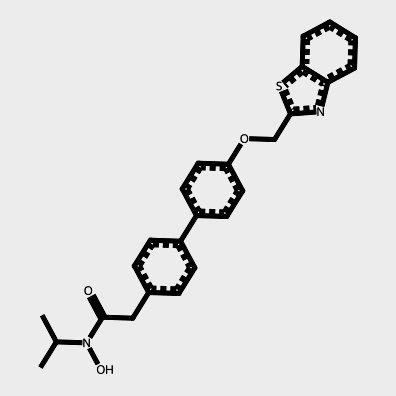 CC(C)N(O)C(=O)Cc1ccc(-c2ccc(OCc3nc4ccccc4s3)cc2)cc1